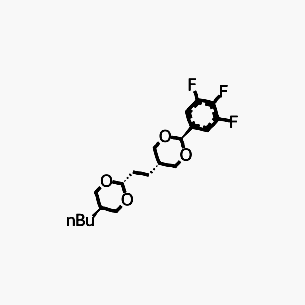 CCCC[C@H]1CO[C@H](CC[C@H]2CO[C@H](c3cc(F)c(F)c(F)c3)OC2)OC1